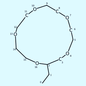 CCC1COCCOCCOCCOCCO1